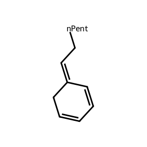 CCCCCCC=C1C=CC=CC1